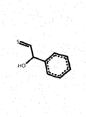 OC([C]=S)c1ccccc1